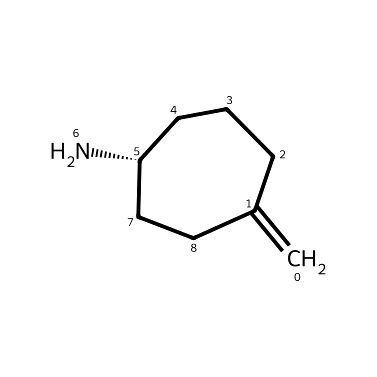 C=C1CCC[C@@H](N)CC1